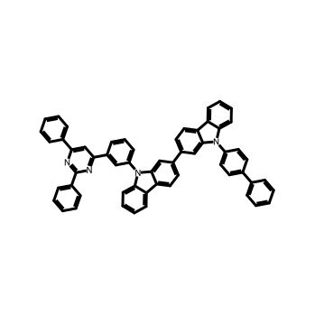 c1ccc(-c2ccc(-n3c4ccccc4c4ccc(-c5ccc6c7ccccc7n(-c7cccc(-c8cc(-c9ccccc9)nc(-c9ccccc9)n8)c7)c6c5)cc43)cc2)cc1